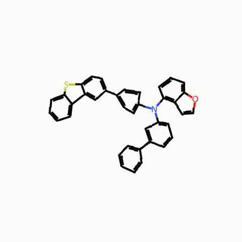 c1ccc(-c2cccc(N(c3ccc(-c4ccc5sc6ccccc6c5c4)cc3)c3cccc4occc34)c2)cc1